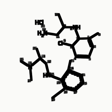 CC1=CC=CC(Cl)C1NC(C)CN.Cc1cccc(C)c1NCC(C)N(C)C.Cl